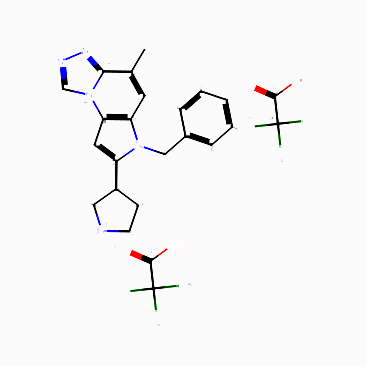 Cc1cc2c(cc(C3CCNC3)n2Cc2ccccc2)n2cnnc12.O=C(O)C(F)(F)F.O=C(O)C(F)(F)F